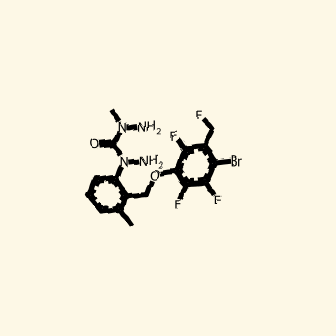 Cc1cccc(N(N)C(=O)N(C)N)c1COc1c(F)c(F)c(Br)c(CF)c1F